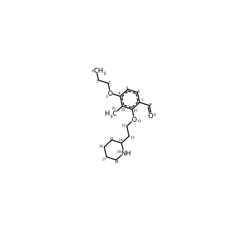 CCCOc1ccc(C=O)c(OCCC2CCCCN2)c1C